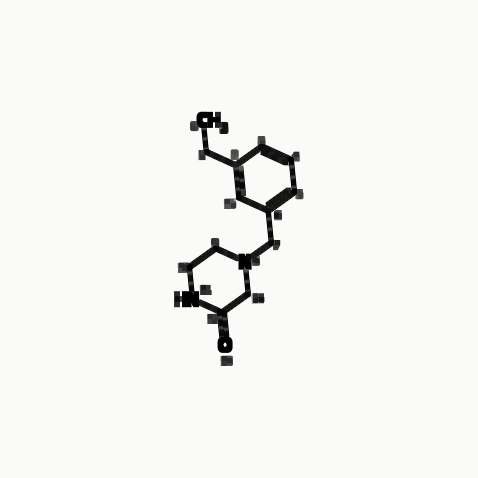 CCc1cccc(CN2CCNC(=O)C2)c1